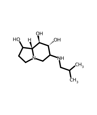 CC(C)CNC1CN2CCC(O)[C@@H]2[C@@H](O)[C@@H]1O